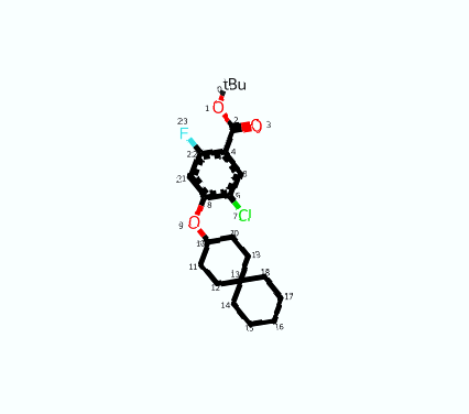 CC(C)(C)OC(=O)c1cc(Cl)c(OC2CCC3(CCCCC3)CC2)cc1F